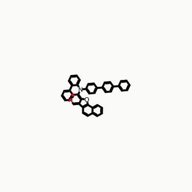 c1ccc(-c2ccc(-c3ccc(N(c4ccccc4-c4ccccc4)c4cncc5c4oc4c6ccccc6ccc54)cc3)cc2)cc1